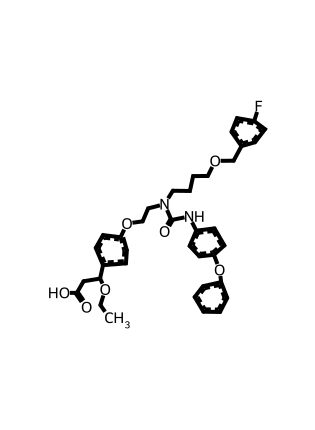 CCOC(CC(=O)O)c1ccc(OCCN(CCCCOCc2ccc(F)cc2)C(=O)Nc2ccc(Oc3ccccc3)cc2)cc1